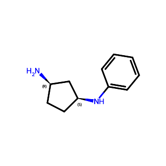 N[C@@H]1CC[C@H](Nc2ccccc2)C1